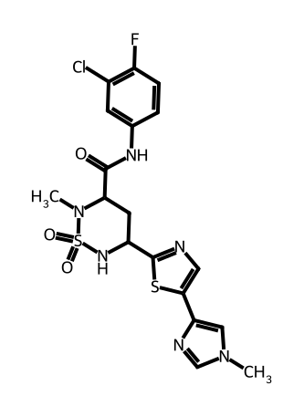 CN1C(C(=O)Nc2ccc(F)c(Cl)c2)CC(c2ncc(-c3cn(C)cn3)s2)NS1(=O)=O